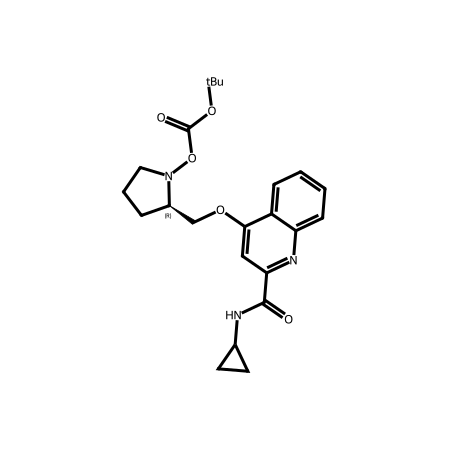 CC(C)(C)OC(=O)ON1CCC[C@@H]1COc1cc(C(=O)NC2CC2)nc2ccccc12